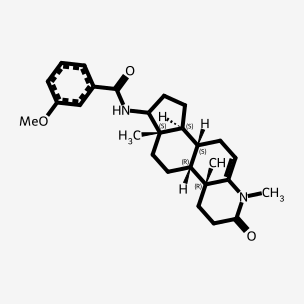 COc1cccc(C(=O)NC2CC[C@H]3[C@@H]4CC=C5N(C)C(=O)CC[C@]5(C)[C@@H]4CC[C@]23C)c1